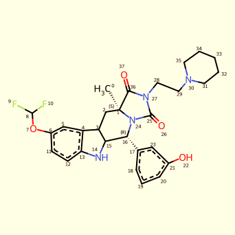 C[C@@]12CC3c4cc(OC(F)F)ccc4NC3[C@@H](c3cccc(O)c3)N1C(=O)N(CCN1CCCCC1)C2=O